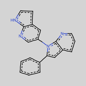 c1ccc(-c2cc3cccnc3n2-c2cnc3[nH]ccc3c2)cc1